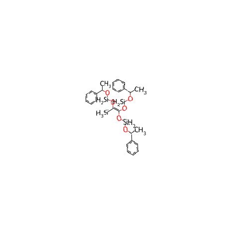 CC(O[SiH2]OC([SiH3])=C(O[SiH2]OC(C)c1ccccc1)O[SiH2]OC(C)c1ccccc1)c1ccccc1